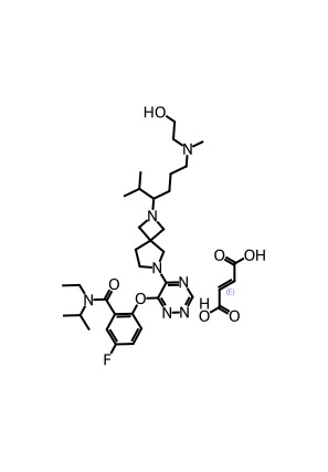 CCN(C(=O)c1cc(F)ccc1Oc1nncnc1N1CCC2(C1)CN(C(CCCN(C)CCO)C(C)C)C2)C(C)C.O=C(O)/C=C/C(=O)O